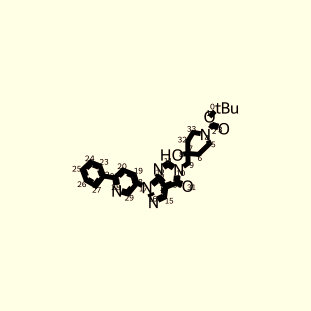 CC(C)(C)OC(=O)N1CCC(O)(Cn2cnc3c(cnn3-c3ccc(-c4ccccc4)nc3)c2=O)CC1